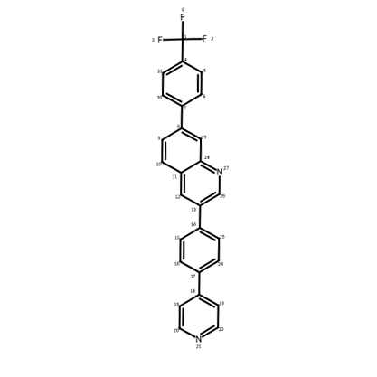 FC(F)(F)c1ccc(-c2ccc3cc(-c4ccc(-c5ccncc5)cc4)cnc3c2)cc1